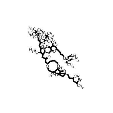 C=C(Br)CC(O)CC[C@@]12CC3OC4[C@@H](OCCCC(CC(=O)CC5[C@@H](OC)C(CC(CO[Si](C)(C)C(C)(C)C)O[Si](C)(C)C(C)(C)C)O[C@H]5CC5OC(CCCO[Si](CC)(CC)CC)CC(C)C5=C)OC[C@@H]4O1)C3O2